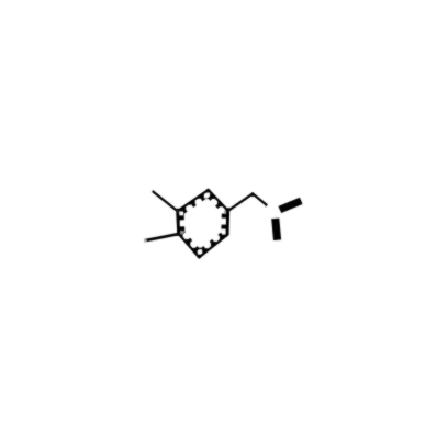 [CH2]c1cc(C[SH](=O)=O)ccc1Cl